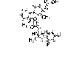 Cc1cc(-c2ccccc2C(C)OC[C@H](O)CNC(C)(C)Cc2ccc(Cl)cc2F)ccc1OC(=O)O